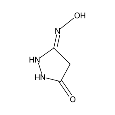 O=C1CC(=NO)NN1